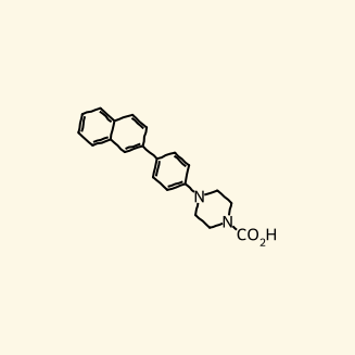 O=C(O)N1CCN(c2ccc(-c3ccc4ccccc4c3)cc2)CC1